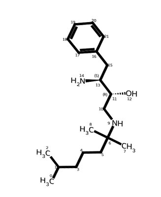 CC(C)CCCC(C)(C)NC[C@@H](O)[C@@H](N)Cc1ccccc1